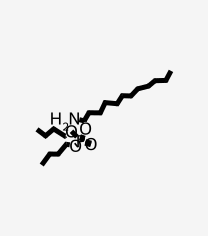 CCCCCCCCCCCC(N)OP(=O)(OCCCC)OCCCC